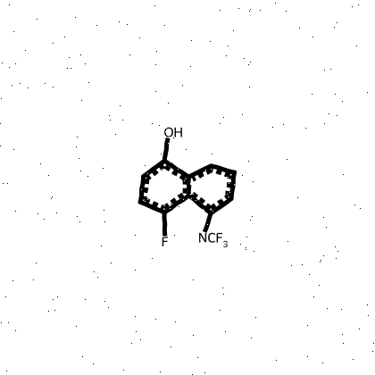 Oc1ccc(F)c2c(NC(F)(F)F)cccc12